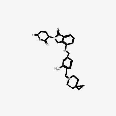 Cc1cc(CNc2cccc3c2CN(C2CCC(=O)NC2=O)C3=O)ccc1CN1CCC2(CC1)CC2